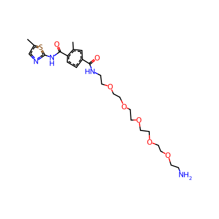 Cc1cnc(NC(=O)c2ccc(C(=O)NCCOCCOCCOCCOCCOCCN)cc2C)s1